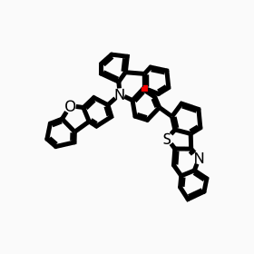 c1ccc(-c2ccccc2N(c2ccc(-c3cccc4c3sc3cc5ccccc5nc34)cc2)c2ccc3c(c2)oc2ccccc23)cc1